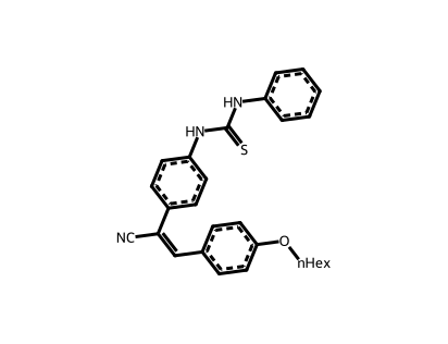 CCCCCCOc1ccc(C=C(C#N)c2ccc(NC(=S)Nc3ccccc3)cc2)cc1